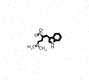 CN(C)CC/C(=C\c1c[nH]c2ccccc12)[N+](=O)[O-]